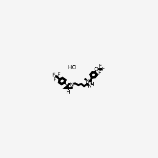 Cl.Cn1c(CCCCN2C[C@@H]3C[C@]3(c3ccc(C(F)(F)F)cc3)C2)nnc1-c1ccc(OC(F)(F)F)cc1